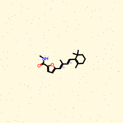 CNC(=O)c1ccc(/C=C(C)/C=C/C2=C(C)CCCC2(C)C)o1